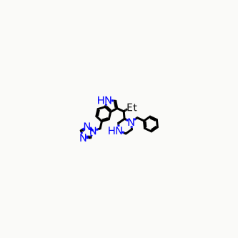 CCC(c1c[nH]c2ccc(Cn3cncn3)cc12)C1CNCCN1Cc1ccccc1